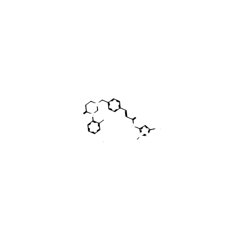 Cc1ccccc1N1CN(Cc2ccc(C=CC(=O)Nc3cc(C(C)(C)C)nn3C)cc2)CCC1=O.Cl